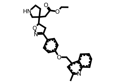 CCOC(=O)CC1(C2CC(c3ccc(OCc4cc(C)nc5ccccc45)cc3)=NO2)CCNC1